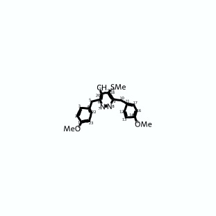 COc1ccc(Cc2nnc(Cc3ccc(OC)cc3)c(SC)c2C)cc1